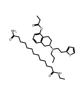 CCCN(CCc1cccs1)[C@@H]1CCc2c(cccc2OC(=O)CC)C1.CCNC(=O)CCCCCCCCCCCC(N)=O